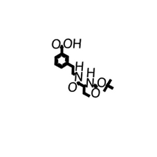 CCC(NC(=O)OC(C)(C)C)C(=O)NCCc1cccc(C(=O)O)c1